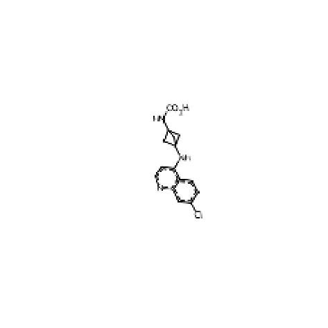 O=C(O)NC12CC(Nc3ccnc4cc(Cl)ccc34)(C1)C2